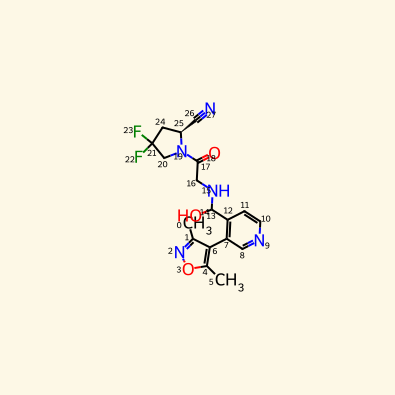 Cc1noc(C)c1-c1cnccc1C(O)NCC(=O)N1CC(F)(F)C[C@H]1C#N